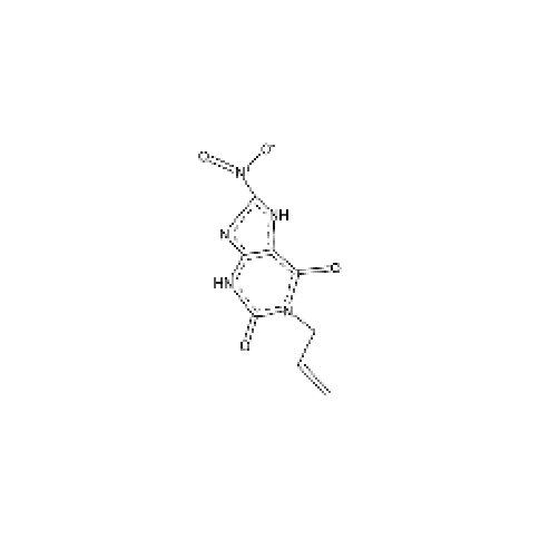 C=CCn1c(=O)[nH]c2nc([N+](=O)[O-])[nH]c2c1=O